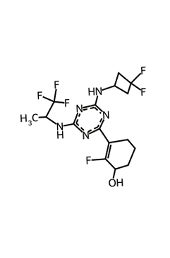 CC(Nc1nc(NC2CC(F)(F)C2)nc(C2=C(F)C(O)CCC2)n1)C(F)(F)F